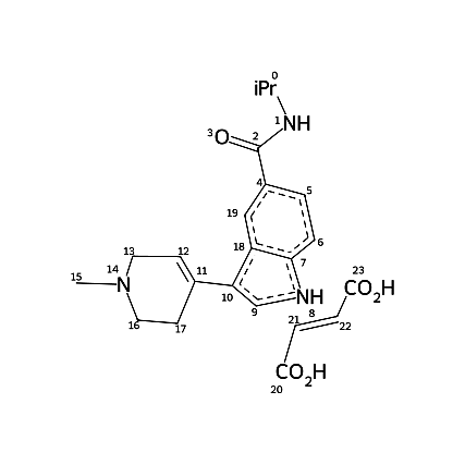 CC(C)NC(=O)c1ccc2[nH]cc(C3=CCN(C)CC3)c2c1.O=C(O)C=CC(=O)O